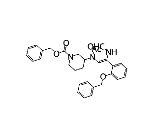 CC(=O)N(/C=C(\NC=O)c1ccccc1OCc1ccccc1)C1CCCN(C(=O)OCc2ccccc2)C1